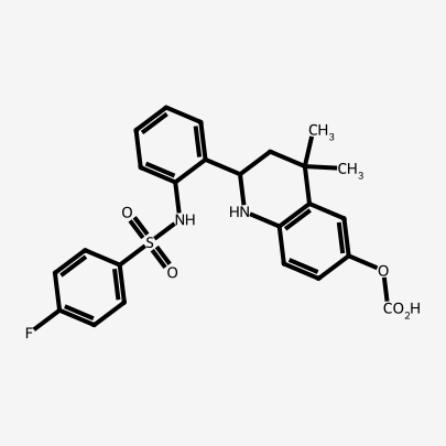 CC1(C)CC(c2ccccc2NS(=O)(=O)c2ccc(F)cc2)Nc2ccc(OC(=O)O)cc21